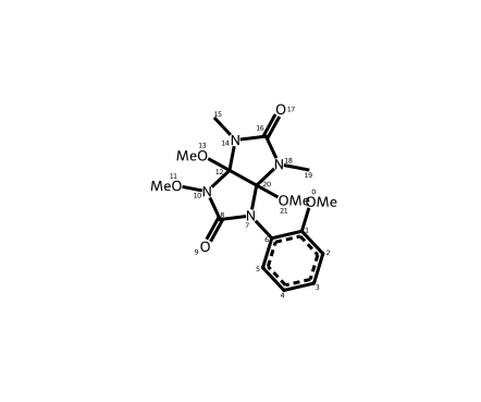 COc1ccccc1N1C(=O)N(OC)C2(OC)N(C)C(=O)N(C)C12OC